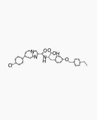 CCc1ccc(COc2ccc(CC(NC(=O)c3cn4ccc(-c5ccc(Cl)cc5)cc4n3)C(=O)O)cc2)cc1